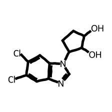 OC1CCC(n2cnc3cc(Cl)c(Cl)cc32)C1O